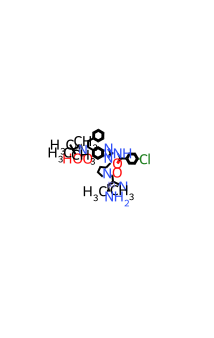 C[C@H](N(C(=O)O)C(Cc1ccccc1)c1ccc2c(c1)nc(NC(=O)c1ccc(Cl)cc1)n2CC1CCCN1C(=O)/C(C#N)=C/C(C)(C)N)C(C)(C)C